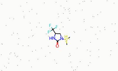 C[SH](C)N1CC(C(F)(F)F)NC1=O